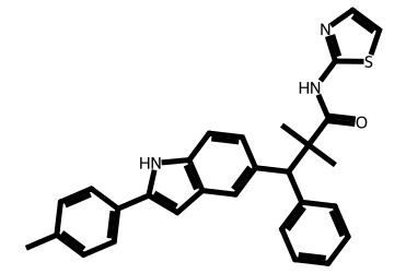 Cc1ccc(-c2cc3cc(C(c4ccccc4)C(C)(C)C(=O)Nc4nccs4)ccc3[nH]2)cc1